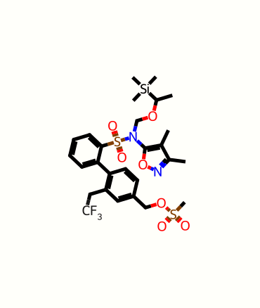 Cc1noc(N(COC(C)[Si](C)(C)C)S(=O)(=O)c2ccccc2-c2ccc(COS(C)(=O)=O)cc2CC(F)(F)F)c1C